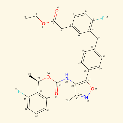 CCOC(=O)Cc1ccc(F)c(Cc2ccc(-c3onc(C)c3NC(=O)O[C@H](C)c3ccccc3F)cc2)c1